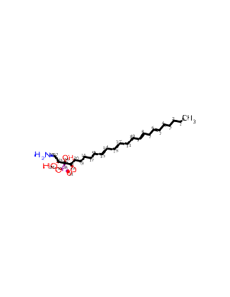 CCCCCCCCC=CCCCCCCCCCCCC(=O)C(O)(C(O)CN)P(=O)=O